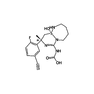 C#Cc1ccc(F)c([C@]2(C)CS3(O)NCCCCN3C(NC(=O)O)=N2)c1